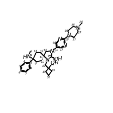 CN[C@]1(c2ccccc2)CC[C@]2(CC1)CN(c1cnc(N3CCN(C)CC3)nc1)C(O)N2CC1(O)CCC1